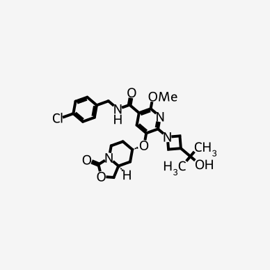 COc1nc(N2CC(C(C)(C)O)C2)c(O[C@H]2CCN3C(=O)OC[C@@H]3C2)cc1C(=O)NCc1ccc(Cl)cc1